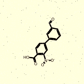 O=Cc1cccc(-c2ccc(C(=O)O)c([N+](=O)[O-])c2)c1